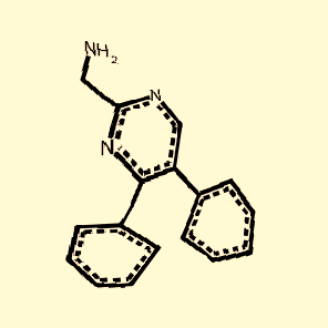 NCc1ncc(-c2ccccc2)c(-c2ccccc2)n1